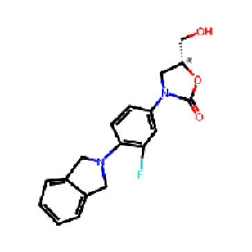 O=C1O[C@@H](CO)CN1c1ccc(N2Cc3ccccc3C2)c(F)c1